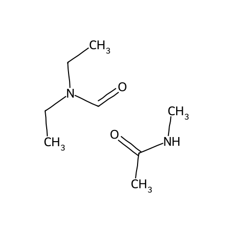 CCN(C=O)CC.CNC(C)=O